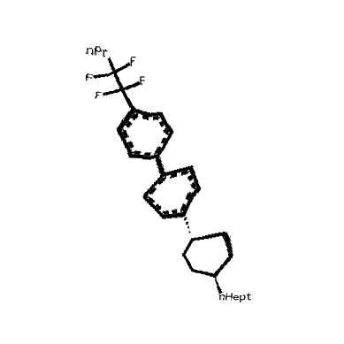 CCCCCCC[C@H]1CC[C@H](c2ccc(-c3ccc(C(F)(F)C(F)(F)CCC)cc3)cc2)CC1